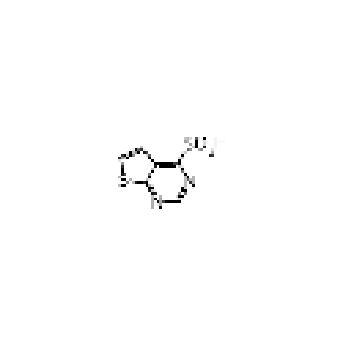 O=S(=O)(O)c1ncnc2sccc12